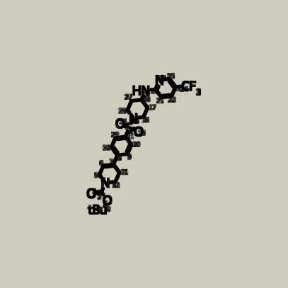 CC(C)(C)OC(=O)N1CC=C(c2ccc(S(=O)(=O)N3CCC(Nc4ccc(C(F)(F)F)cn4)CC3)cc2)CC1